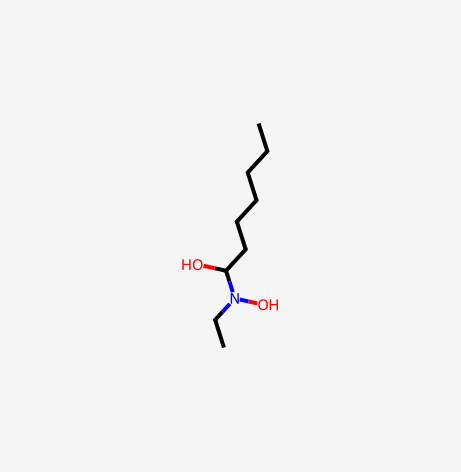 CCCCCCC(O)N(O)CC